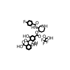 O=C(N[C@H]1CNCCC[C@@H]1OC(=O)c1cc(O)c(C(=O)c2c(O)cccc2C(=O)O)c(O)c1)c1ccc(F)cc1.O=C(O)C(F)(F)F